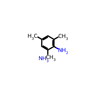 Cc1cc(C)c(N)c(C)c1.N